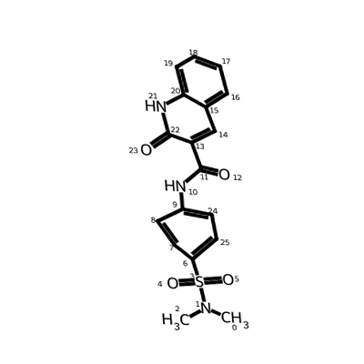 CN(C)S(=O)(=O)c1ccc(NC(=O)c2cc3ccccc3[nH]c2=O)cc1